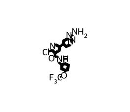 Nc1nc2cc(-c3cnc(Cl)c(C(=O)NCc4cc(OC(F)(F)F)ccc4F)c3)ccn2n1